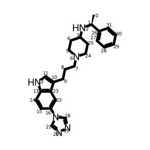 C[C@H](NC1CCN(CCCc2c[nH]c3ccc(-n4cnnc4)cc23)CC1)c1ccccc1